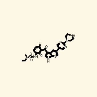 CCN(C)S(=O)(=O)Nc1ccc(F)c(C(=O)c2c[nH]c3ncc(-c4cnc(N5CCNCC5)nc4)cc23)c1Cl